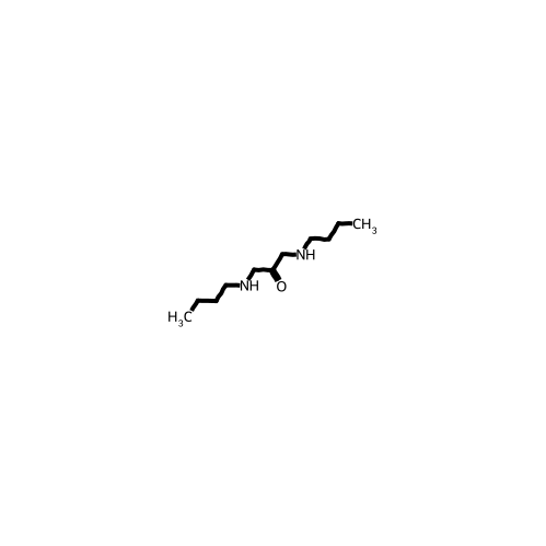 CCCCNCC(=O)CNCCCC